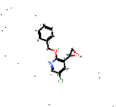 Clc1cnc(OCc2ccccc2)c(C2CO2)c1